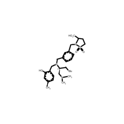 Cc1ccc(CN(Cc2cccc(CN3C(C(=O)O)CCS3(=O)=O)c2)[C@H](CN(C)C)CC(C)(C)C)c(O)c1